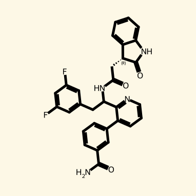 NC(=O)c1cccc(-c2cccnc2C(Cc2cc(F)cc(F)c2)NC(=O)C[C@H]2C(=O)Nc3ccccc32)c1